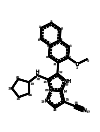 COc1cc2ccccc2cc1-c1[nH]c2c(C#N)cnn2c1NC1CCCC1